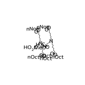 CCCCCCCCCOC(=O)CCCCCCCN(CCCCCCCC(=O)OC(CCCCCCCC)CCCCCCCC)CCCC(=O)N(C)OC.CCCCCCCCCOC(=O)CCCCCCCN(CCCCCCCC(=O)OC(CCCCCCCC)CCCCCCCC)CCCC(=O)O